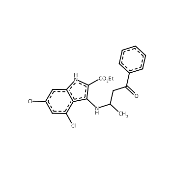 CCOC(=O)c1[nH]c2cc(Cl)cc(Cl)c2c1NC(C)CC(=O)c1ccccc1